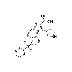 CC(O)c1nc2cnc3c(ccn3S(=O)(=O)c3ccccc3)c2n1C1CCNC1